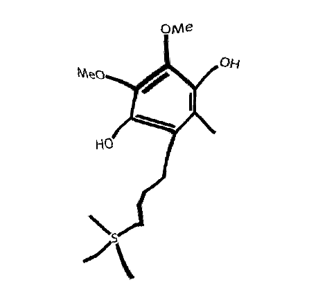 COc1c(O)c(C)c(CCCS(C)(C)C)c(O)c1OC